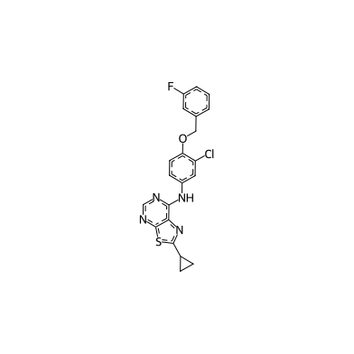 Fc1cccc(COc2ccc(Nc3ncnc4sc(C5CC5)nc34)cc2Cl)c1